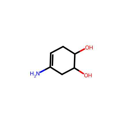 NC1=CCC(O)C(O)C1